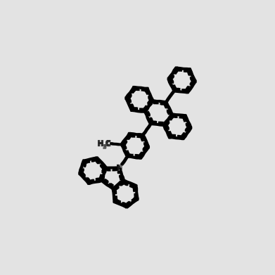 Cc1cc(-c2c3ccccc3c(-c3ccccc3)c3ccccc23)ccc1-n1c2ccccc2c2ccccc21